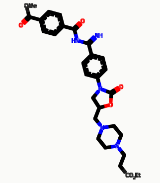 CCOC(=O)CCN1CCN(CC2CN(c3ccc(C(=N)NC(=O)c4ccc(C(=O)OC)cc4)cc3)C(=O)O2)CC1